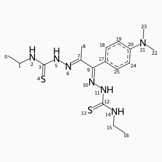 CCNC(=S)N/N=C(C)/C(=N/NC(=S)NCC)c1ccc(N(C)C)cc1